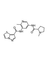 Cc1ncc(NC(=O)C2CCCN2C)cc1NC(=O)c1cnn2ccsc12